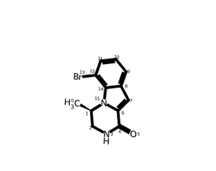 C[C@@H]1CNC(=O)c2cc3cccc(Br)c3n21